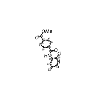 COC(=O)c1ccc(C(=O)Nc2cc(C)cnc2Cl)cn1